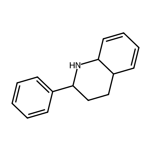 C1=CC2CCC(c3ccccc3)NC2C=C1